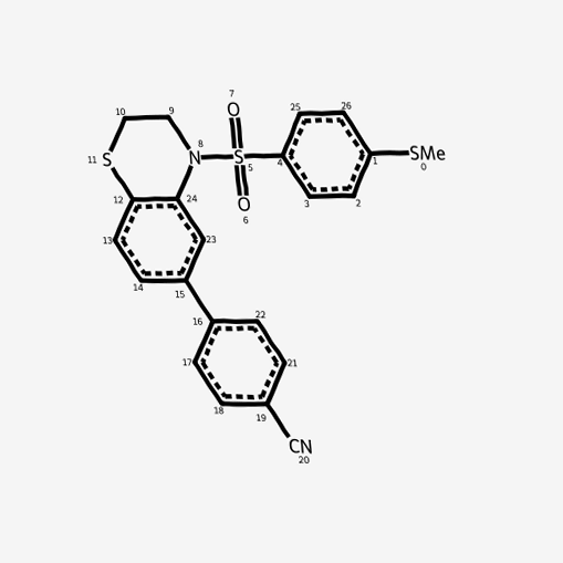 CSc1ccc(S(=O)(=O)N2CCSc3ccc(-c4ccc(C#N)cc4)cc32)cc1